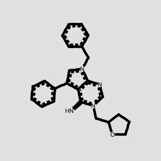 N=c1c2c(-c3ccccc3)cn(Cc3ccccc3)c2ncn1CC1CCCO1